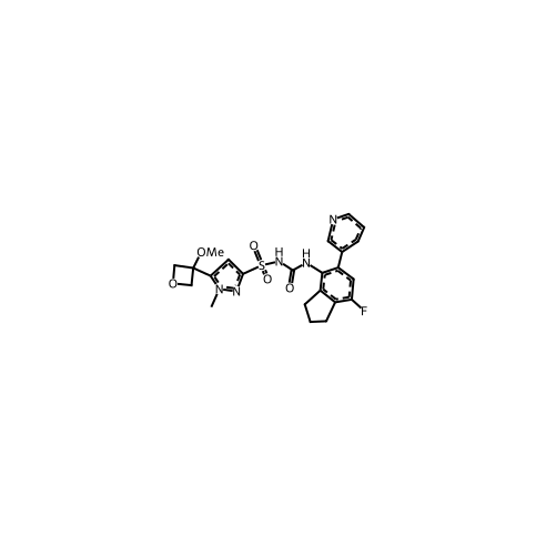 COC1(c2cc(S(=O)(=O)NC(=O)Nc3c(-c4cccnc4)cc(F)c4c3CCC4)nn2C)COC1